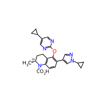 C[C@H]1CCc2c(ccc(-c3cnn(C4CC4)c3)c2Oc2ncc(C3CC3)cn2)N1C(=O)O